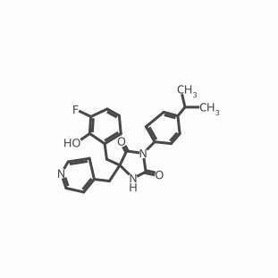 CC(C)c1ccc(N2C(=O)NC(Cc3ccncc3)(Cc3cccc(F)c3O)C2=O)cc1